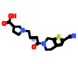 N#Cc1cc2c(s1)CN(C(=O)/C=C/CN1CCC(C(=O)O)C1)CC2